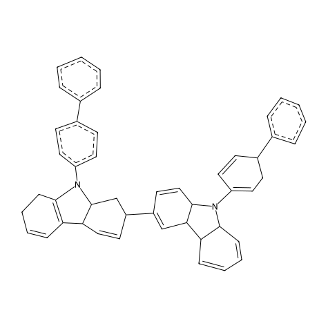 C1=CC2C3C=C(C4C=CC5C6=C(CCC=C6)N(c6ccc(-c7ccccc7)cc6)C5C4)C=CC3N(C3=CCC(c4ccccc4)C=C3)C2C=C1